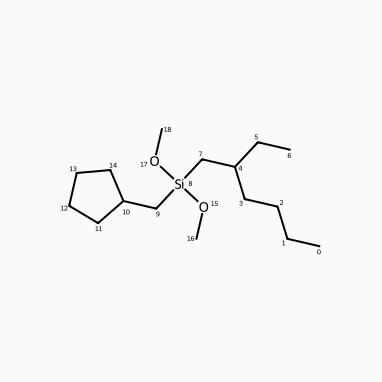 CCCCC(CC)C[Si](CC1CCCC1)(OC)OC